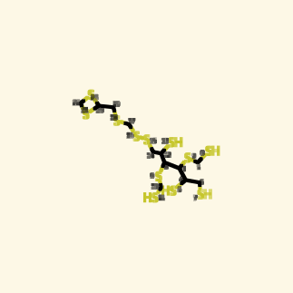 SCSC(C(S)CS)C(SCS)C(S)CSSCSCC1SCS1